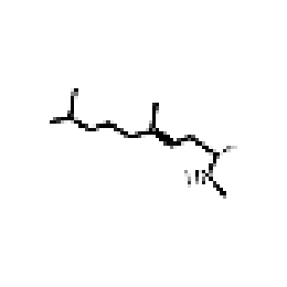 CN[C@@H](C)C/C=C(\C)CCCC(C)C